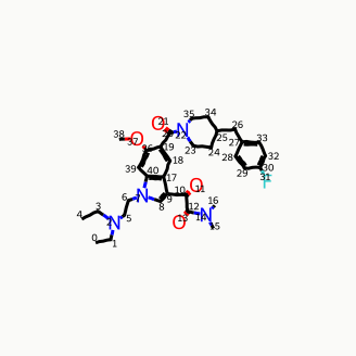 CCN(CC)CCn1cc(C(=O)C(=O)N(C)C)c2cc(C(=O)N3CCC(Cc4ccc(F)cc4)CC3)c(OC)cc21